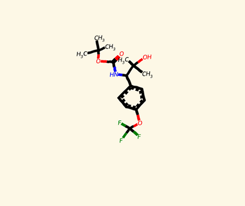 CC(C)(C)OC(=O)NC(c1ccc(OC(F)(F)F)cc1)C(C)(C)O